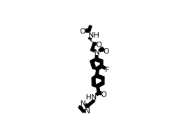 CC(=O)NC[C@H]1CN(c2ccc(-c3ccc(C(=O)NCC4=NCC=N4)cc3)c(F)c2)C(=O)O1